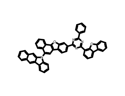 c1ccc(-c2nc(-c3ccc4c(c3)oc3c5ccccc5c(-n5c6ccccc6c6cc7ccccc7cc65)cc43)nc(-c3cccc4c3oc3ccccc34)n2)cc1